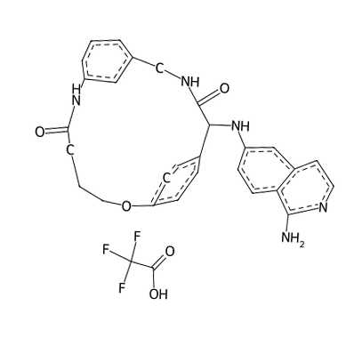 Nc1nccc2cc(NC3C(=O)NCc4cccc(c4)NC(=O)CCCOc4ccc3cc4)ccc12.O=C(O)C(F)(F)F